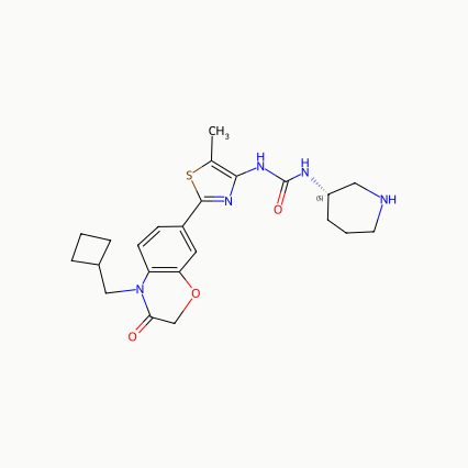 Cc1sc(-c2ccc3c(c2)OCC(=O)N3CC2CCC2)nc1NC(=O)N[C@H]1CCCNC1